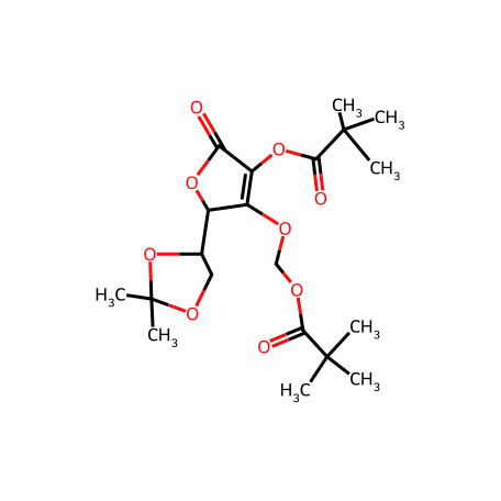 CC1(C)OCC(C2OC(=O)C(OC(=O)C(C)(C)C)=C2OCOC(=O)C(C)(C)C)O1